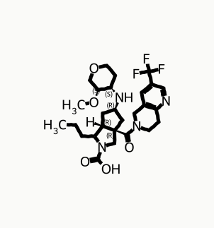 CCCC1[C@@H]2C[C@@H](N[C@H]3CCOC[C@H]3OC)C[C@]2(C(=O)N2CCc3ncc(C(F)(F)F)cc3C2)CN1C(=O)O